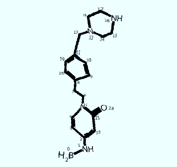 BNc1ccn(CCc2ccc(CN3CCNCC3)cc2)c(=O)c1